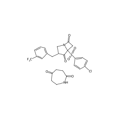 O=C1CC2(S(=O)(=O)c3ccc(Cl)cc3)C(=O)C(Cc3cccc(C(F)(F)F)c3)CN12.O=C1CCNC(=O)CC1